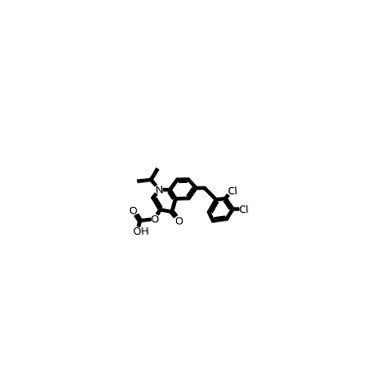 CC(C)n1cc(OC(=O)O)c(=O)c2cc(Cc3cccc(Cl)c3Cl)ccc21